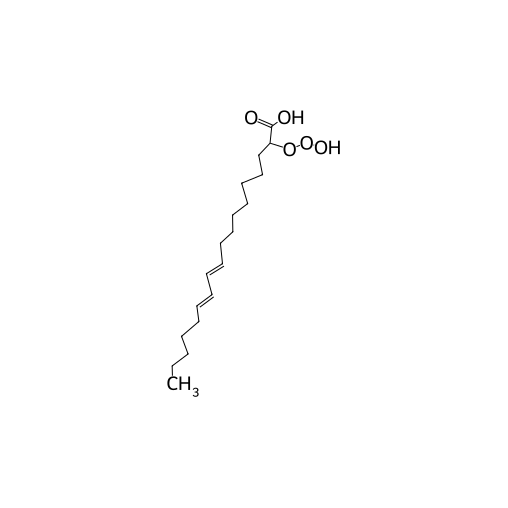 CCCCC/C=C/C=C/CCCCCCCC(OOO)C(=O)O